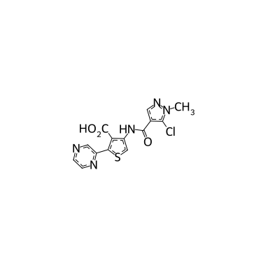 Cn1ncc(C(=O)Nc2csc(-c3cnccn3)c2C(=O)O)c1Cl